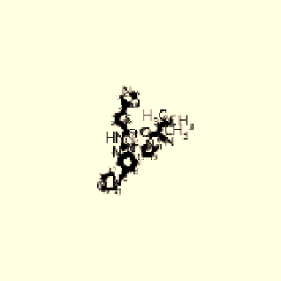 CC(C)(C)C=C(C#N)C(=O)N1CCC[C@@H]1Cn1c(NC(=O)c2ccc(-c3cnco3)s2)nc2cc(CN3CCOCC3)ccc21